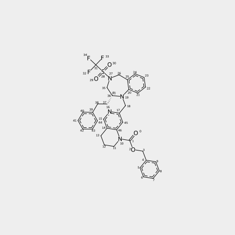 O=C(OCc1ccccc1)N1CCCc2cnc(CN3c4ccccc4CN(S(=O)(=O)C(F)(F)F)C[C@H]3CCc3ccccc3)cc21